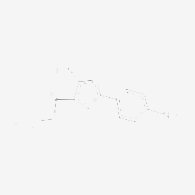 CCOC(=O)OC(=O)c1cc(-c2ccc([N+](=O)[O-])cc2)sc1N